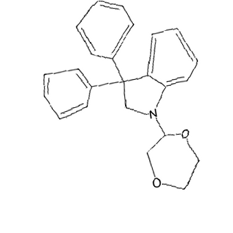 c1ccc(C2(c3ccccc3)CN(C3COCCO3)c3ccccc32)cc1